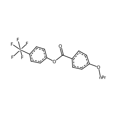 CCCOc1ccc(C(=O)Oc2ccc(S(F)(F)(F)(F)F)cc2)cc1